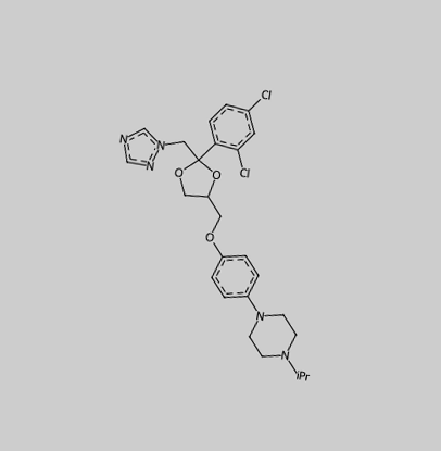 CC(C)N1CCN(c2ccc(OCC3COC(Cn4cncn4)(c4ccc(Cl)cc4Cl)O3)cc2)CC1